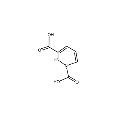 O=C(O)C1=CC=CN(C(=O)O)N1